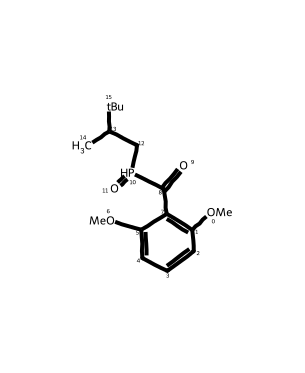 COc1cccc(OC)c1C(=O)[PH](=O)CC(C)C(C)(C)C